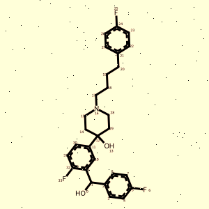 OC(c1ccc(F)cc1)c1cc(C2(O)CCN(CCCCc3ccc(F)cc3)CC2)ccc1F